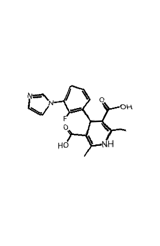 CC1=C(C(=O)O)C(c2cccc(-n3ccnc3)c2F)C(C(=O)O)=C(C)N1